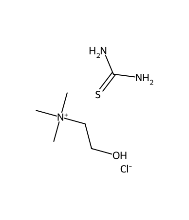 C[N+](C)(C)CCO.NC(N)=S.[Cl-]